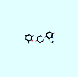 Cc1cc(C)c(OC2CCN(c3ccc(O)c4ncsc34)CC2)c(C)c1